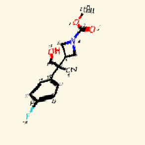 CC(C)(C)OC(=O)N1CC(C(C#N)(CO)c2ccc(F)cc2)C1